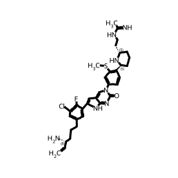 C=C[C@H](N)CCCc1cc(Cl)c(F)c(-c2cc3cn(-c4ccc([C@@H]5CCC[C@@H](CCNC(C)=N)N5)c(SC)c4)c(=O)nc3[nH]2)c1